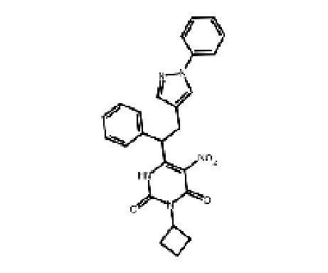 O=c1[nH]c(C(Cc2cnn(-c3ccccc3)c2)c2ccccc2)c([N+](=O)[O-])c(=O)n1C1CCC1